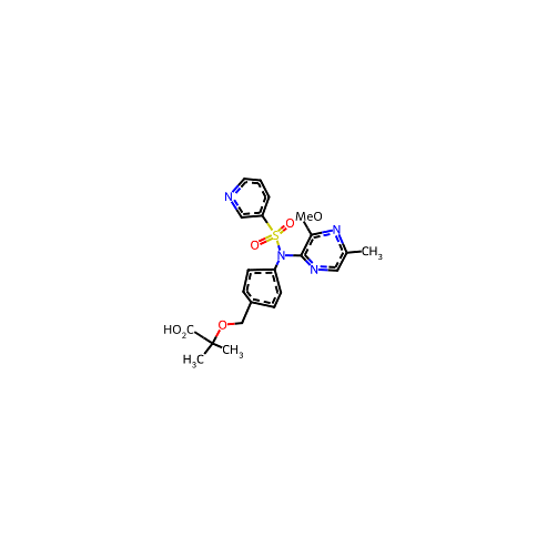 COc1nc(C)cnc1N(c1ccc(COC(C)(C)C(=O)O)cc1)S(=O)(=O)c1cccnc1